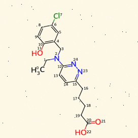 CCN(Cc1cc(Cl)ccc1O)c1ccc(CCCCC(=O)O)nn1